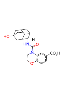 O=C(O)c1ccc2c(c1)N(C(=O)N[C@H]1C3CC4CC1C[C@](O)(C4)C3)CCO2